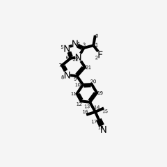 CC(F)c1nnc2cnc(-c3ccc(C(C)(C)C#N)cc3)cn12